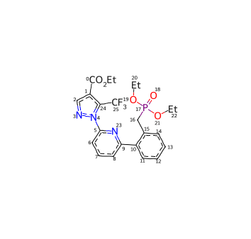 CCOC(=O)c1cnn(-c2cccc(-c3ccccc3CP(=O)(OCC)OCC)n2)c1C(F)(F)F